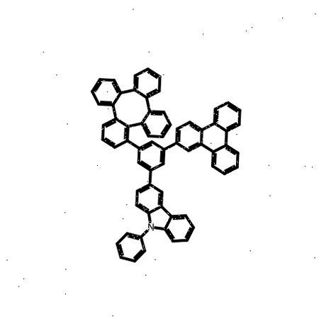 c1ccc(-n2c3ccccc3c3cc(-c4cc(-c5ccc6c7ccccc7c7ccccc7c6c5)cc(-c5cccc6c5-c5ccccc5-c5ccccc5-c5ccccc5-6)c4)ccc32)cc1